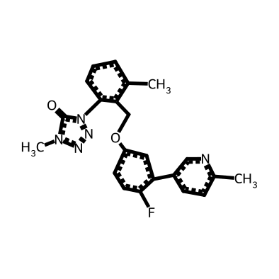 Cc1ccc(-c2cc(OCc3c(C)cccc3-n3nnn(C)c3=O)ccc2F)cn1